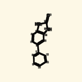 O=c1[nH]c2ccc(-c3ccccc3)cc2[nH]1